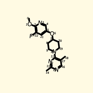 COc1ncc(OC2CCN(c3nc(C)ncc3C)CC2)cc1F